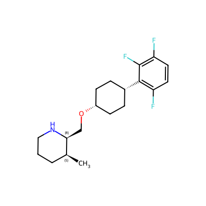 C[C@H]1CCCN[C@H]1CO[C@H]1CC[C@@H](c2c(F)ccc(F)c2F)CC1